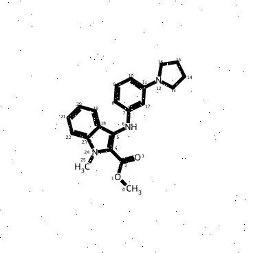 COC(=O)c1c(Nc2cccc(N3CCCC3)c2)c2ccccc2n1C